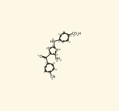 N#Cc1ccc(C(=O)c2sc(Nc3ccc(C(=O)O)cc3)nc2N)cc1